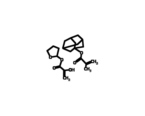 C=C(C)C(=O)OC12CC3CC(CC(C3)C1)C2.C=C(O)C(=O)OC1CCCO1